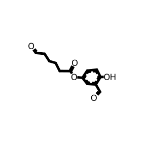 O=CCCCCC(=O)Oc1ccc(O)c(C=O)c1